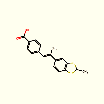 CC(=Cc1ccc(C(=O)O)cc1)c1ccc2c(c1)SC(C)S2